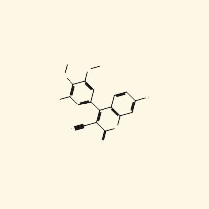 COc1cc(-c2c(C#N)c(=N)oc3cc(N)ccc23)cc(Br)c1OC